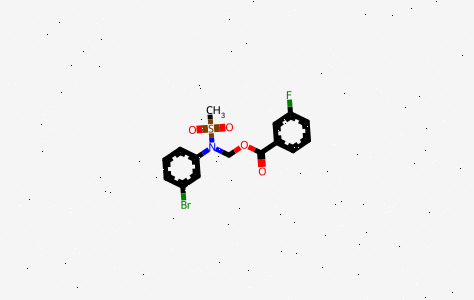 CS(=O)(=O)N(COC(=O)c1cccc(F)c1)c1cccc(Br)c1